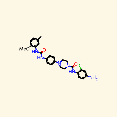 COc1ccc(C)cc1NC(=O)Nc1ccc(N2CCN(C(=O)Nc3ccc(N)cc3Cl)CC2)cc1